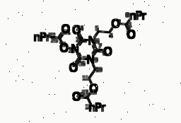 CCCC(=O)OCCn1c(=O)n(CCOC(=O)CCC)c(=O)n(OC(=O)CCC)c1=O